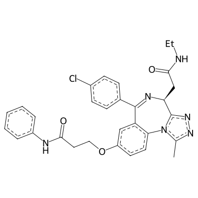 CCNC(=O)C[C@@H]1N=C(c2ccc(Cl)cc2)c2cc(OCCC(=O)Nc3ccccc3)ccc2-n2c(C)nnc21